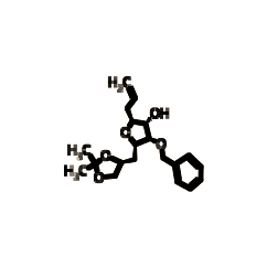 C=CC[C@@H]1O[C@H](C[C@H]2COC(C)(C)O2)[C@H](OCc2ccccc2)[C@H]1O